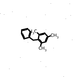 Cc1cc(C)c(Cc2ccccc2)c(C)c1